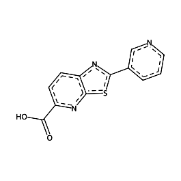 O=C(O)c1ccc2nc(-c3cccnc3)sc2n1